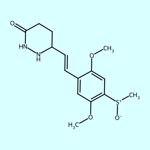 COc1cc([S+](C)[O-])c(OC)cc1/C=C/C1CCC(=O)NN1